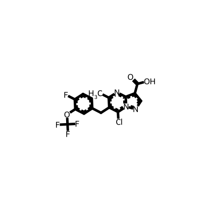 Cc1nc2c(C(=O)O)cnn2c(Cl)c1Cc1ccc(F)c(OC(F)(F)F)c1